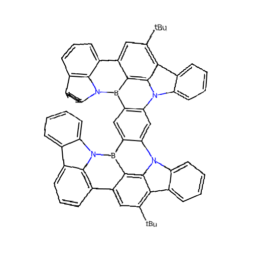 CC(C)(C)c1cc2c3c4c1c1ccccc1n4-c1cc4c(cc1B3n1c3ccccc3c3cccc-2c31)B1c2c(cc(C(C)(C)C)c3c5ccccc5n-4c23)-c2cccc3c4ccccc4n1c23